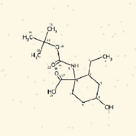 CCC1CC(O)CCC1(NC(=O)OC(C)(C)C)C(=O)O